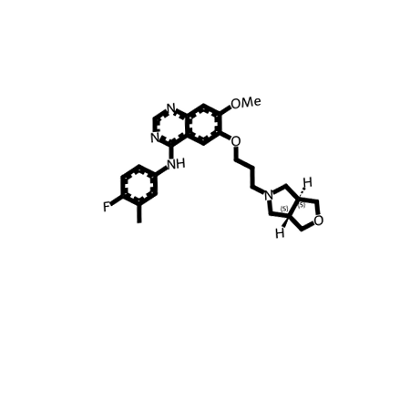 COc1cc2ncnc(Nc3ccc(F)c(C)c3)c2cc1OCCCN1C[C@H]2COC[C@@H]2C1